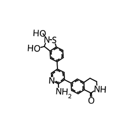 Nc1ncc(-c2ccc3c(c2)C(O)N(O)S3)cc1-c1ccc2c(c1)CCNC2=O